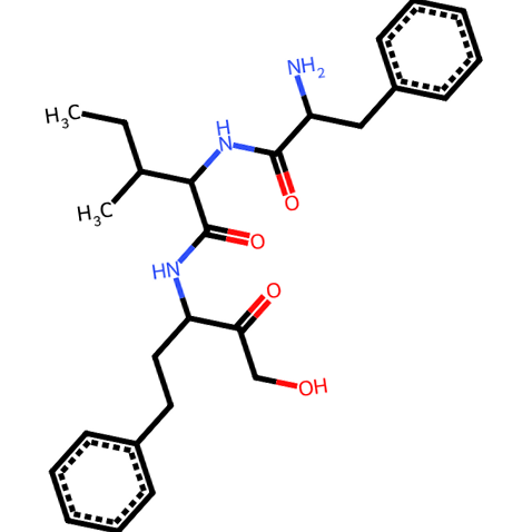 CCC(C)C(NC(=O)C(N)Cc1ccccc1)C(=O)NC(CCc1ccccc1)C(=O)CO